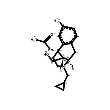 Cc1ccc2c(c1)[C@]1(CC(N)=O)CCN(CC3CC3)[C@H](C2)[C@@H]1CO